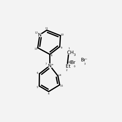 Br.CCC.[Br-].c1cc[n+](-c2cccnc2)cc1